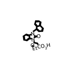 CCOC(CC(=O)O)n1c(=O)n(Cc2cccc3ccccc23)c2ccccc21